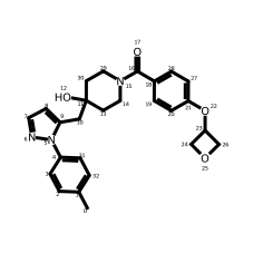 Cc1ccc(-n2nccc2CC2(O)CCN(C(=O)c3ccc(OC4COC4)cc3)CC2)cc1